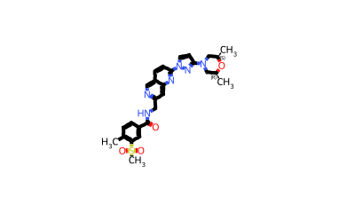 Cc1ccc(C(=O)NCc2cc3nc(-n4ccc(N5C[C@@H](C)O[C@@H](C)C5)n4)ccc3cn2)cc1S(C)(=O)=O